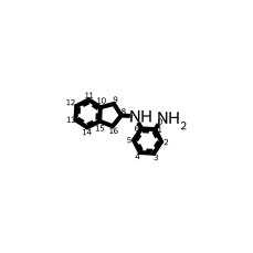 Nc1ccccc1NC1Cc2ccccc2C1